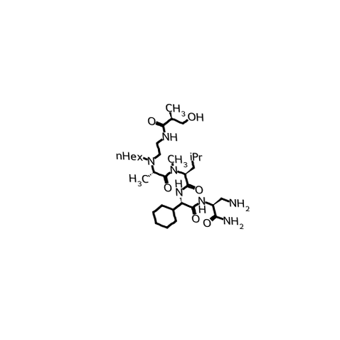 CCCCCCN(CCNC(=O)[C@@H](C)CO)[C@@H](C)C(=O)N(C)[C@@H](CC(C)C)C(=O)N[C@H](C(=O)N[C@@H](CN)C(N)=O)C1CCCCC1